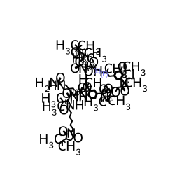 COc1cc(C(=O)N(C)[C@@H](C)C(=O)OCC(=O)N(C)c2cc(C/C(C)=C/C=C/[C@@H](OC)[C@@]3(O)C[C@@H]([C@@H](C)[C@@H]4OC4(C)C)OC(=O)N3)cc(OC)c2Cl)ccc1NC(=O)[C@H](CCCNC(N)=O)NC(=O)[C@@H](NC(=O)CCCCCN1C(=O)CC(C(C)C)C1=O)C(C)C